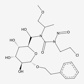 COCC(C)N(C(=O)N(CCCl)N=O)C(O)[C@H]1O[C@H](OCCc2ccccc2)[C@@H](O)[C@H](O)[C@@H]1O